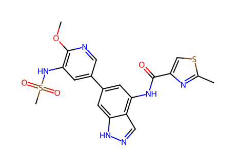 COc1ncc(-c2cc(NC(=O)c3csc(C)n3)c3cn[nH]c3c2)cc1NS(C)(=O)=O